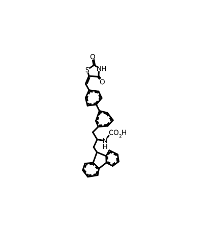 O=C(O)NC(Cc1cccc(-c2ccc(/C=C3/SC(=O)NC3=O)cc2)c1)CC1c2ccccc2-c2ccccc21